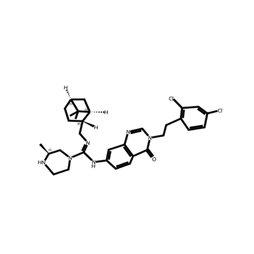 C[C@H]1CN(C(=NC[C@@H]2CC[C@H]3C[C@@H]2C3(C)C)Nc2ccc3c(=O)n(CCc4ccc(Cl)cc4Cl)cnc3c2)CCN1